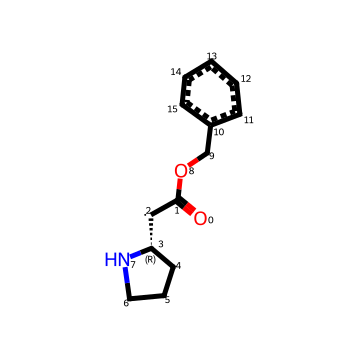 O=C([CH][C@@H]1CCCN1)OCc1ccccc1